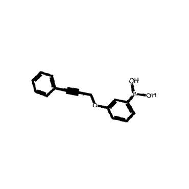 OB(O)c1cccc(OCC#Cc2ccccc2)c1